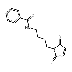 O=C(NCCCCN1C(=O)C=CC1=O)c1ccccc1